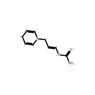 NC(=O)OC=CCN1C=CCC=C1